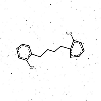 CC(=O)Oc1ccccc1CCCCc1ccccc1OC(C)=O